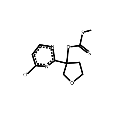 CSC(=S)OC1(c2nccc(Cl)n2)CCOC1